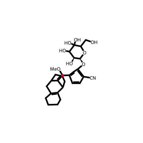 CO/C(=C1\C2CCCC1C1=C(CCCC1)C2)c1ccc(C#N)c(O[C@@H]2OC(CO)C(O)(O)C(O)[C@@H]2O)c1